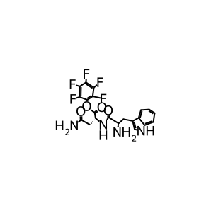 NC(=O)C[C@@H](NC(=O)[C@H](N)Cc1c[nH]c2ccccc12)C(=O)Oc1c(F)c(F)c(F)c(F)c1F